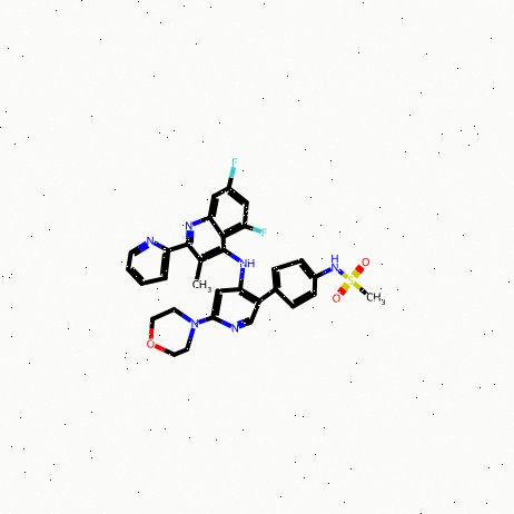 Cc1c(-c2ccccn2)nc2cc(F)cc(F)c2c1Nc1cc(N2CCOCC2)ncc1-c1ccc(NS(C)(=O)=O)cc1